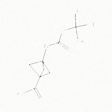 CC(C)(C)OC(=O)NC12CC(C(=O)O)(C1)C2